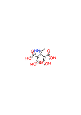 O=C(O)C(C(=O)O)C1(C(C(=O)O)C(=O)O)CN1